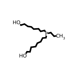 CCCP(CCCCCCCCO)CCCCCCCCO